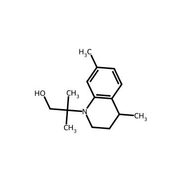 Cc1ccc2c(c1)N(C(C)(C)CO)CCC2C